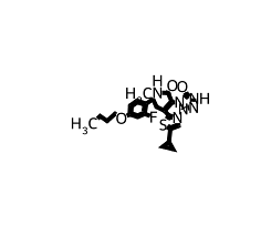 CCCCOc1ccc([C@]2(C)CC(c3ncc(C4CC4)s3)=C(n3nn[nH]c3=O)C(=O)N2)c(F)c1